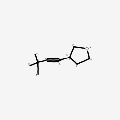 CC(C)(C)C#C[C@@H]1CCOC1